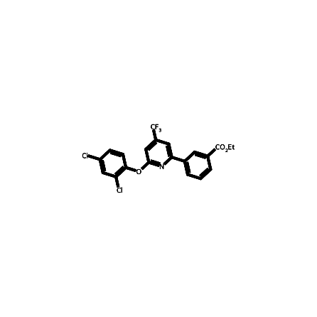 CCOC(=O)c1cccc(-c2cc(C(F)(F)F)cc(Oc3ccc(Cl)cc3Cl)n2)c1